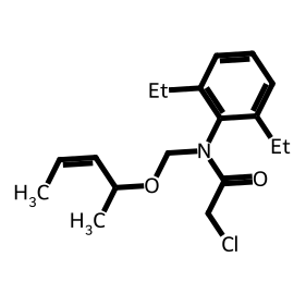 C/C=C\C(C)OCN(C(=O)CCl)c1c(CC)cccc1CC